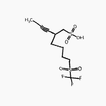 CC#CC(CCCCS(=O)(=O)C(F)(F)F)CS(=O)(=O)O